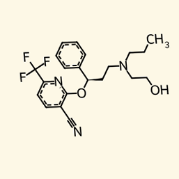 CCCN(CCO)CC[C@@H](Oc1nc(C(F)(F)F)ccc1C#N)c1ccccc1